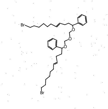 BrCCCCCCC=CCCC(OCOCOC(CCC=CCCCCCCBr)c1ccccc1)c1ccccc1